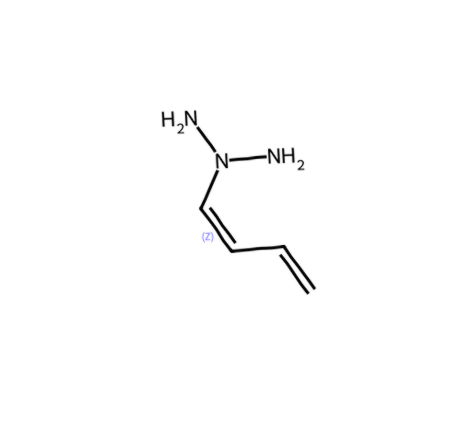 C=C/C=C\N(N)N